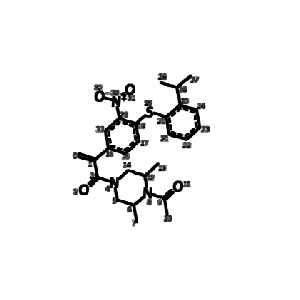 C=C(C(=O)N1CC(C)N(C(C)=O)C(C)C1)c1ccc(Sc2ccccc2C(C)C)c([N+](=O)[O-])c1